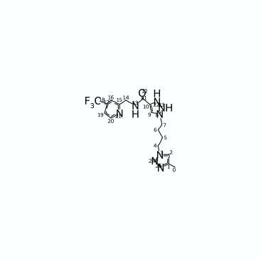 Cc1cn(CCCCN2C=C(C(=O)NCc3cc(C(F)(F)F)ccn3)NN2)nn1